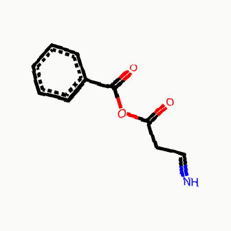 N=CCC(=O)OC(=O)c1ccccc1